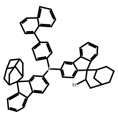 CCC1CC2CCCC(C2)C12c1ccccc1-c1cc(N(c3ccc(-c4cccc5ccccc45)cc3)c3ccc4c(c3)C3(c5ccccc5-4)C4CC5CC(C4)CC3C5)ccc12